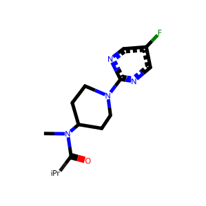 CC(C)C(=O)N(C)C1CCN(c2ncc(F)cn2)CC1